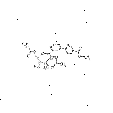 COC(=O)c1ccc(-c2cccc([C@H]3O[C@H](COC(C)=O)[C@@H](C)[C@H](C)[C@@H]3OC(C)=O)c2)nc1